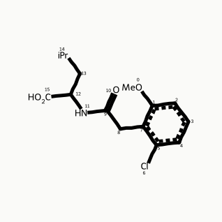 COc1cccc(Cl)c1CC(=O)NC(CC(C)C)C(=O)O